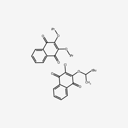 CC(C)OC1=C(OC(C)C)C(=O)c2ccccc2C1=O.CC(OC1=C(Cl)C(=O)c2ccccc2C1=O)C(C)(C)C